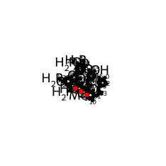 Cc1ccc(C2Oc3c(c(C)c[c]([Mo])c3C3c4c(O)cc(O)c(C5c6c(OP)cc(OP)cc6OC(c6ccc(OP)c(OP)c6)C5O)c4OC(c4ccc(O)c(O)c4)C3C)CC2C)cc1C